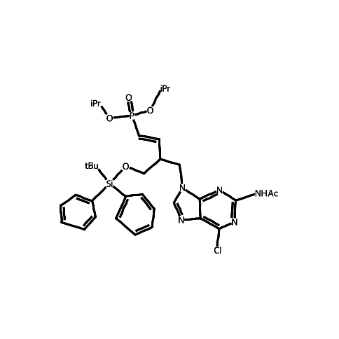 CC(=O)Nc1nc(Cl)c2ncn(CC(/C=C/P(=O)(OC(C)C)OC(C)C)CO[Si](c3ccccc3)(c3ccccc3)C(C)(C)C)c2n1